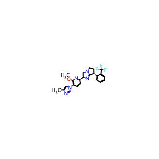 COc1nc(C2CN3CC[C@@H](c4ccccc4C(F)(F)F)C3=N2)ccc1-n1cnc(C)c1